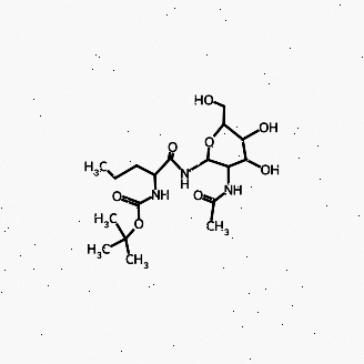 CCCC(NC(=O)OC(C)(C)C)C(=O)NC1OC(CO)C(O)C(O)C1NC(C)=O